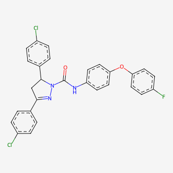 O=C(Nc1ccc(Oc2ccc(F)cc2)cc1)N1N=C(c2ccc(Cl)cc2)CC1c1ccc(Cl)cc1